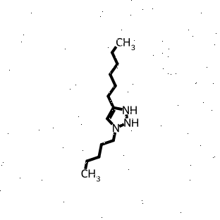 CCCCCCC1=CN(CCCCC)NN1